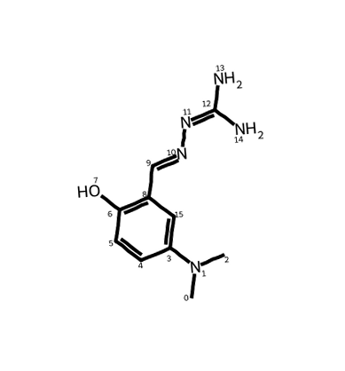 CN(C)c1ccc(O)c(C=NN=C(N)N)c1